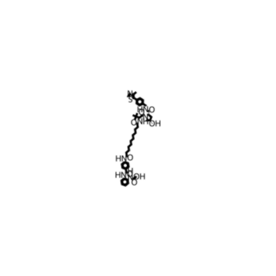 Cc1ncsc1-c1ccc(CNC(=O)[C@@H]2C[C@H](O)CN2C(=O)[C@@H](NC(=O)CCCCCCCCCCC(=O)Nc2ccc(C(=O)Nc3ccccc3NC(=O)O)cc2)C(C)(C)C)cc1